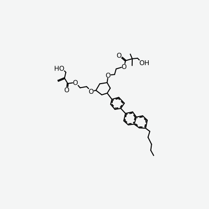 C=C(CO)C(=O)OCCOC1CC(OCCOC(=O)C(C)(C)CO)CC(c2ccc(-c3ccc4cc(CCCCC)ccc4c3)cc2)C1